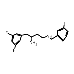 N[C@H](CCNCc1cccc(I)c1)Cc1cc(F)cc(F)c1